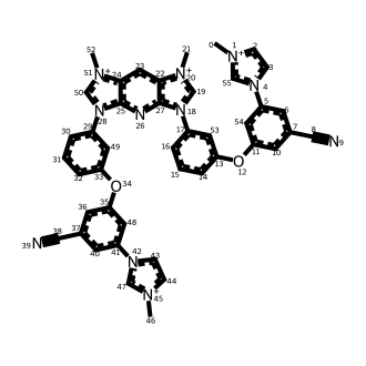 C[n+]1ccn(-c2cc(C#N)cc(Oc3cccc(-n4c[n+](C)c5cc6c(nc54)n(-c4cccc(Oc5cc(C#N)cc(-n7cc[n+](C)c7)c5)c4)c[n+]6C)c3)c2)c1